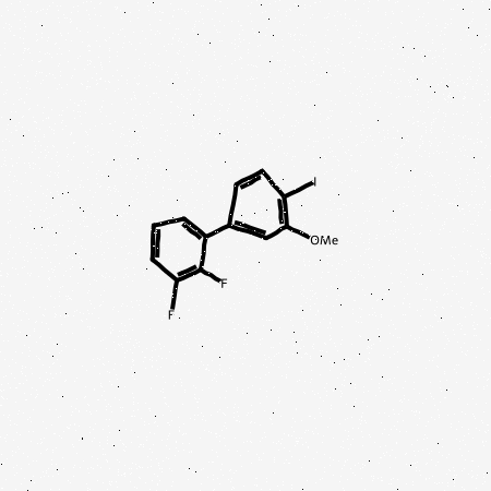 COc1cc(-c2cccc(F)c2F)ccc1I